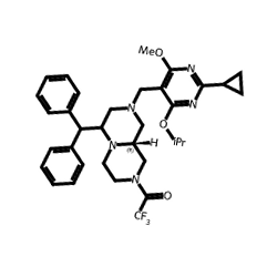 COc1nc(C2CC2)nc(OC(C)C)c1CN1CC(C(c2ccccc2)c2ccccc2)N2CCN(C(=O)C(F)(F)F)C[C@H]2C1